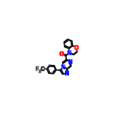 O=C(c1cn2c(-c3ccc(C(F)(F)F)cc3)cnc2cn1)N1CCOc2ccccc21